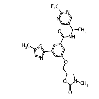 Cc1cnc(-c2cc(OC[C@H]3CN(C)C(=O)O3)cc(C(=O)N[C@H](C)c3cnc(C(F)(F)F)nc3)c2)s1